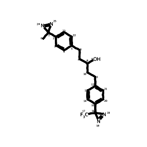 CC1(c2ccc(CCC(O)CCc3ccc(C4(C(F)(F)F)N=N4)cc3)cc2)N=N1